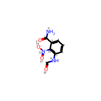 NC(=O)c1cccc(NC=O)c1[N+](=O)[O-]